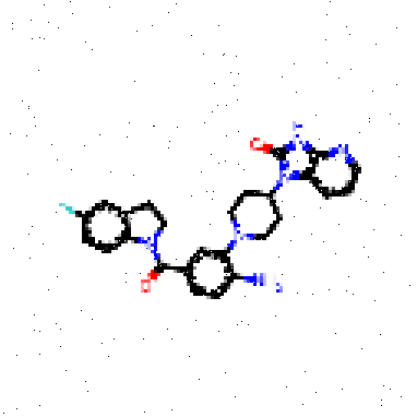 Nc1ccc(C(=O)N2CCc3cc(F)ccc32)cc1N1CCC(n2c(=O)[nH]c3ncccc32)CC1